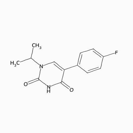 CC(C)n1cc(-c2ccc(F)cc2)c(=O)[nH]c1=O